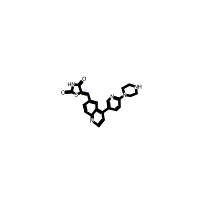 O=C1NC(=O)/C(=C/c2ccc3nccc(-c4ccc(N5CCNCC5)nc4)c3c2)S1